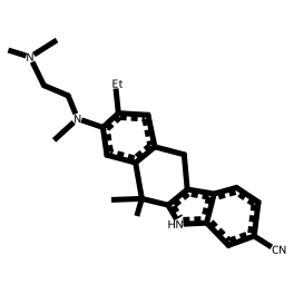 CCc1cc2c(cc1N(C)CCN(C)C)C(C)(C)c1[nH]c3cc(C#N)ccc3c1C2